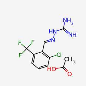 CC(=O)O.N=C(N)N/N=C/c1c(Cl)cccc1C(F)(F)F